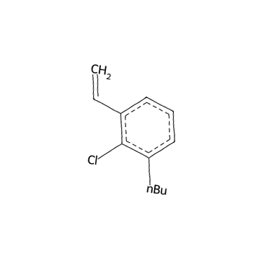 C=Cc1cccc(CCCC)c1Cl